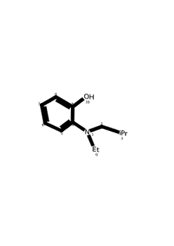 CCN(CC(C)C)c1ccccc1O